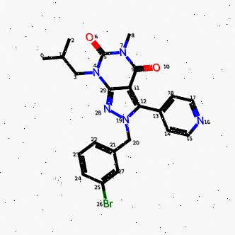 CC(C)Cn1c(=O)n(C)c(=O)c2c(-c3ccncc3)n(Cc3cccc(Br)c3)nc21